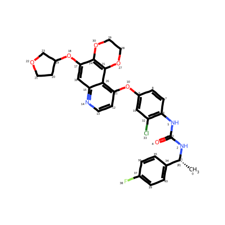 C[C@@H](NC(=O)Nc1ccc(Oc2ccnc3cc(OC4CCOC4)c4c(c23)OCCO4)cc1Cl)c1ccc(F)cc1